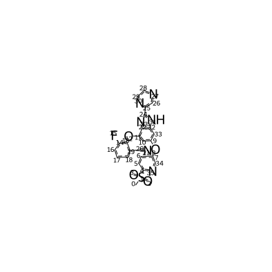 CS(=O)(=O)c1ccc(Oc2cc(Oc3c(F)cccc3C#N)c3nc(-c4cnccn4)[nH]c3c2)cn1